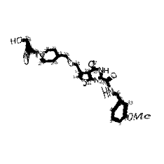 COc1cccc(CNC(=O)c2nc3scc(COCC4CCN(C(=O)CO)CC4)c3c(=O)[nH]2)c1